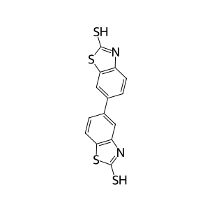 Sc1nc2cc(-c3ccc4nc(S)sc4c3)ccc2s1